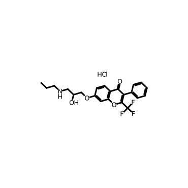 CCCNCC(O)COc1ccc2c(=O)c(-c3ccccc3)c(C(F)(F)F)oc2c1.Cl